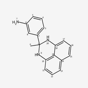 CC1(c2cccc(N)c2)Nc2cccc3cccc(c23)N1